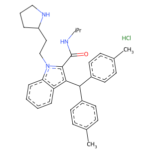 Cc1ccc(C(c2ccc(C)cc2)c2c(C(=O)NC(C)C)n(CCC3CCCN3)c3ccccc23)cc1.Cl